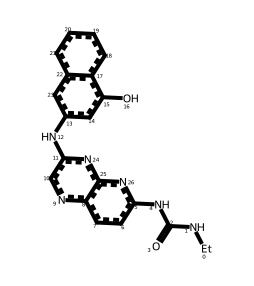 CCNC(=O)Nc1ccc2ncc(Nc3cc(O)c4ccccc4c3)nc2n1